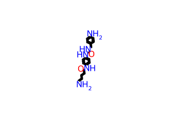 NCCCCC(=O)Nc1ccc(NC(=O)NCc2ccc(N)cc2)cc1